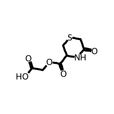 O=C(O)COC(=O)C1CSCC(=O)N1